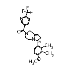 COc1ccc([C@H]2CC=C3CN(C(=O)c4ccc(C(F)(F)F)nc4)CCN32)c(C)c1C